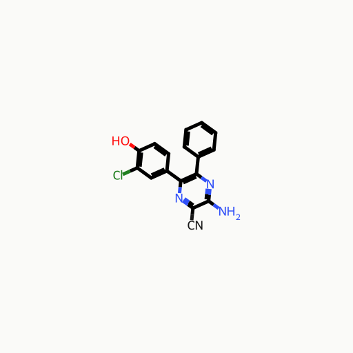 N#Cc1nc(-c2ccc(O)c(Cl)c2)c(-c2ccccc2)nc1N